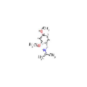 COc1ccc(CN=C(C)C)c(OC)c1